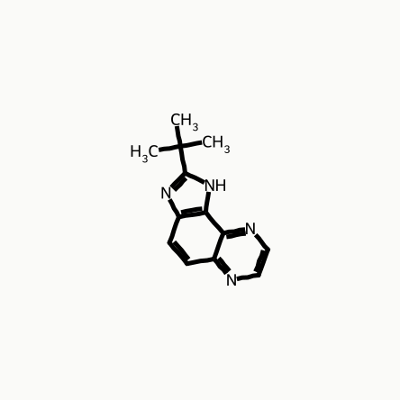 CC(C)(C)c1nc2ccc3nccnc3c2[nH]1